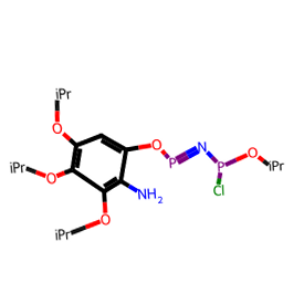 CC(C)Oc1cc(OP=NP(Cl)OC(C)C)c(N)c(OC(C)C)c1OC(C)C